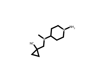 CN(CC1(C#N)CC1)C1CCN(N)CC1